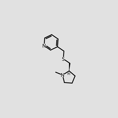 CN1CCC[C@@H]1CSCc1cccnc1